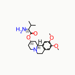 COc1cc2c(cc1OC)[C@H]1C[C@@H](OC(=O)[C@@H](N)C(C)C)CCN1CC2